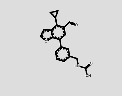 O=Cc1cc(-c2cccc(CNC(=O)O)c2)c2occc2c1C1CC1